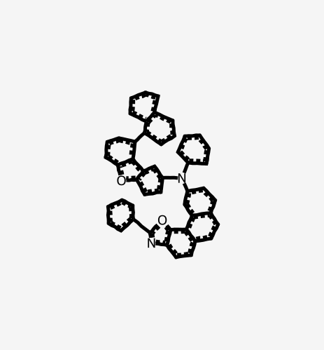 c1ccc(-c2nc3ccc4ccc5ccc(N(c6ccccc6)c6ccc7oc8cccc(-c9cccc%10ccccc9%10)c8c7c6)cc5c4c3o2)cc1